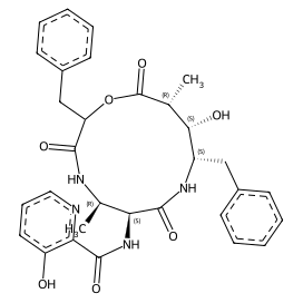 C[C@H]1NC(=O)C(Cc2ccccc2)OC(=O)[C@H](C)[C@H](O)[C@H](Cc2ccccc2)NC(=O)[C@H]1NC(=O)c1ncccc1O